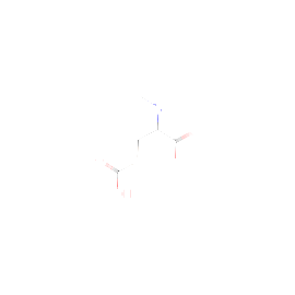 CNC(CSC(=O)O)C(=O)O